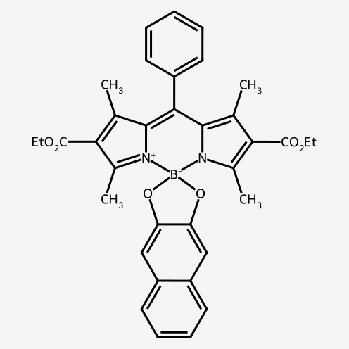 CCOC(=O)C1=C(C)C2=C(c3ccccc3)c3c(C)c(C(=O)OCC)c(C)n3[B-]3(Oc4cc5ccccc5cc4O3)[N+]2=C1C